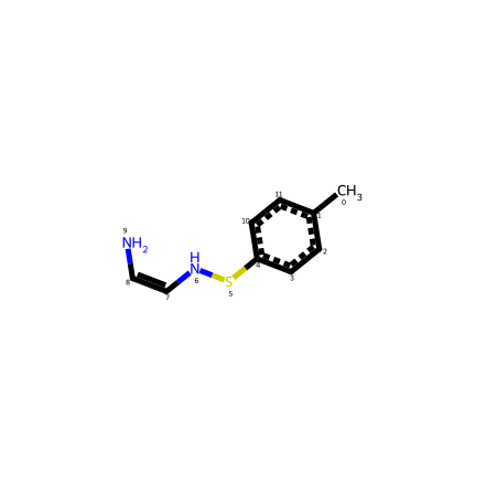 Cc1ccc(SN/C=C\N)cc1